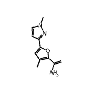 C=C(N)c1oc(-c2ccn(C)n2)cc1C